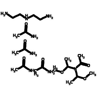 CC(N)=O.CC(N)=O.CC(N)=O.CC(N)=O.COC(C)N(C(C)=O)C(C)OC.NCCNCCN